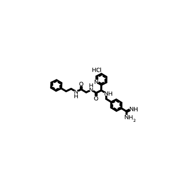 Cl.N=C(N)c1ccc(CNC(C(=O)NCC(=O)NCCc2ccccc2)c2ccccn2)cc1